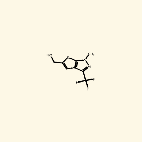 Cn1nc(C(F)(F)F)c2cc(CO)sc21